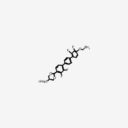 BCOc1ccc(-c2ccc(-c3ccc(C4OCC(CCCCCCC)CO4)c(F)c3F)cc2)c(F)c1F